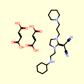 N#CC(C#N)=C1N(CCCN2CCCCC2)CCN1CCNC1CCCCC1.O=C(O)C=CC(=O)O.O=C(O)C=CC(=O)O